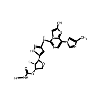 Cc1cn(-c2cnc(Nc3cc([C@H]4OC[C@@H](OC(=O)NC(C)C)[C@H]4F)[nH]n3)n3cc(C#N)nc23)cn1